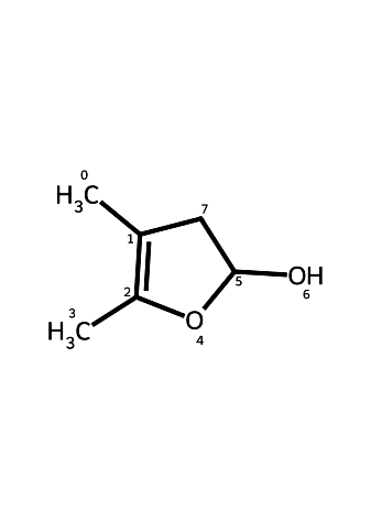 CC1=C(C)OC(O)C1